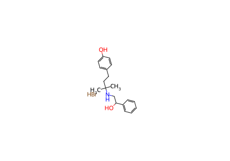 Br.CC(C)(CCc1ccc(O)cc1)NCC(O)c1ccccc1